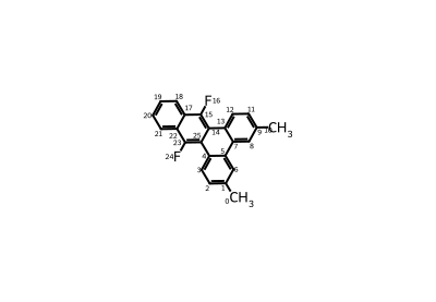 Cc1ccc2c(c1)c1cc(C)ccc1c1c(F)c3ccccc3c(F)c21